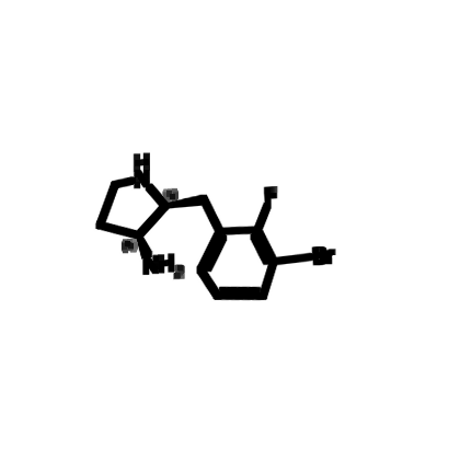 N[C@H]1CCN[C@H]1Cc1cccc(Br)c1F